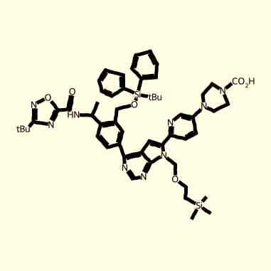 CC(NC(=O)c1nc(C(C)(C)C)no1)c1ccc(-c2ncnc3c2cc(-c2ccc(N4CCN(C(=O)O)CC4)cn2)n3COCC[Si](C)(C)C)cc1CO[Si](c1ccccc1)(c1ccccc1)C(C)(C)C